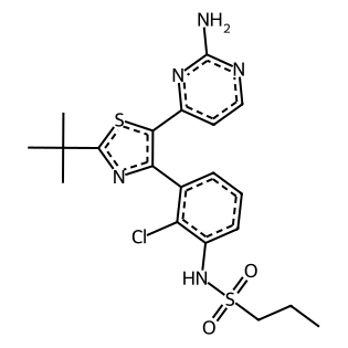 CCCS(=O)(=O)Nc1cccc(-c2nc(C(C)(C)C)sc2-c2ccnc(N)n2)c1Cl